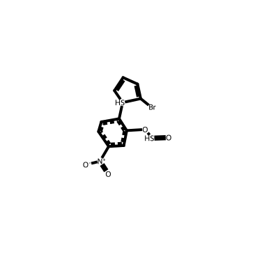 O=[SH]Oc1cc([N+](=O)[O-])ccc1[SH]1C=CC=C1Br